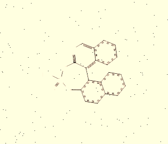 C=C1OP(=O)(O)Oc2ccc3ccccc3c2/C1=c1\cccc\c1=C\C